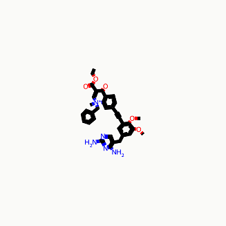 CCOC(=O)C1=C[N+](C)(Cc2ccccc2)c2cc(C#Cc3cc(Cc4cnc(N)nc4N)cc(OC)c3OC)ccc2C1=O